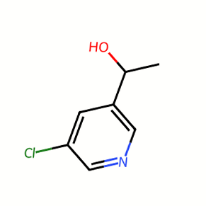 CC(O)c1cncc(Cl)c1